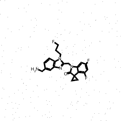 NCc1ccc2c(c1)nc(CN1C(=O)C3(CC3)c3c(F)cc(F)cc31)n2CCCF